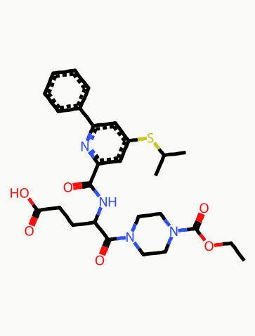 CCOC(=O)N1CCN(C(=O)C(CCC(=O)O)NC(=O)c2cc(SC(C)C)cc(-c3ccccc3)n2)CC1